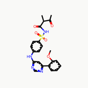 COc1ccccc1-c1cc(Nc2ccc(S(=O)(=O)NC(=O)C(C)C(C)=O)cc2)ncn1